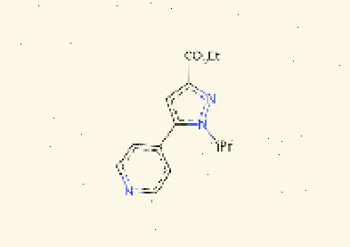 CCOC(=O)c1cc(-c2ccncc2)n(C(C)C)n1